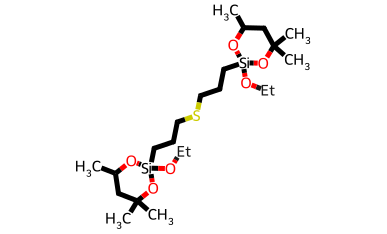 CCO[Si]1(CCCSCCC[Si]2(OCC)OC(C)CC(C)(C)O2)OC(C)CC(C)(C)O1